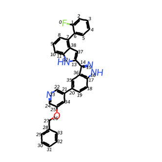 Fc1ccccc1-c1cccc2[nH]c(-c3n[nH]c4ccc(-c5cncc(OCc6ccccc6)c5)cc34)cc12